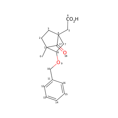 CC12CCC(CC(=O)O)(CC1OCc1ccccc1)C2=O